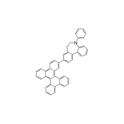 c1ccc(N2CCc3cc(-c4ccc5c6ccccc6c6c7ccccc7c7ccccc7c6c5c4)ccc3-c3ccccc32)cc1